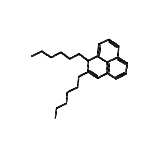 CCCCCCC1=Cc2cccc3cccc(c23)C1CCCCCC